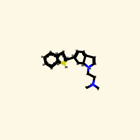 CN(C)CCN1C=CC2=CC=C(c3cc4ccccc4s3)CC21